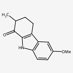 COc1ccc2[nH]c3c(c2c1)CCC(C)C3=O